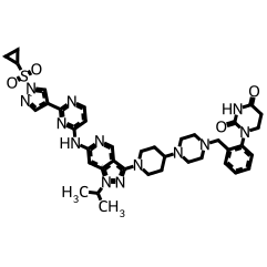 CC(C)n1nc(N2CCC(N3CCN(Cc4ccccc4N4CCC(=O)NC4=O)CC3)CC2)c2cnc(Nc3ccnc(-c4cnn(S(=O)(=O)C5CC5)c4)n3)cc21